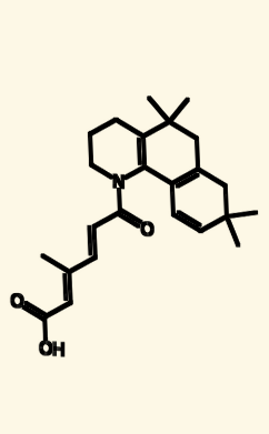 CC(/C=C/C(=O)N1CCCC2=C1C1=C(CC(C)(C)C=C1)CC2(C)C)=C\C(=O)O